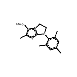 CCOC(=O)c1c(C)nc2n1CCN2c1c(C)cc(C)cc1C